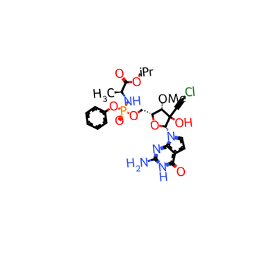 CO[C@H]1[C@@H](COP(=O)(N[C@@H](C)C(=O)OC(C)C)Oc2ccccc2)O[C@@H](n2ccc3c(=O)[nH]c(N)nc32)C1(O)C#CCl